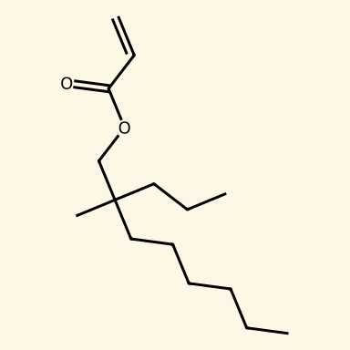 C=CC(=O)OCC(C)(CCC)CCCCCC